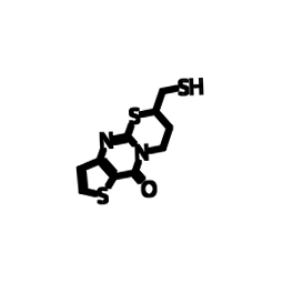 O=c1c2sccc2nc2n1CCC(CS)S2